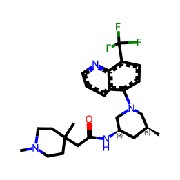 C[C@H]1C[C@@H](NC(=O)CC2(C)CCN(C)CC2)CN(c2ccc(C(F)(F)F)c3ncccc23)C1